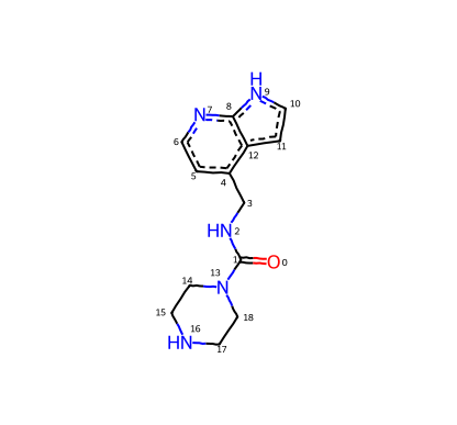 O=C(NCc1ccnc2[nH]ccc12)N1CCNCC1